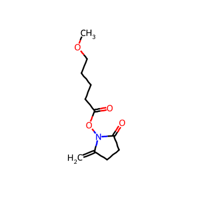 C=C1CCC(=O)N1OC(=O)CCCCOC